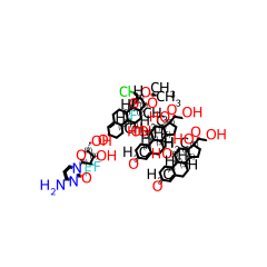 CC1(C)O[C@@H]2C[C@H]3[C@@H]4CCC5=CC(=O)CC[C@]5(C)[C@@]4(F)[C@@H](O)C[C@]3(C)[C@]2(C(=O)CCl)O1.C[C@]12CCC(=O)C=C1CC[C@@H]1[C@@H]2[C@@H](O)C[C@@]2(C)[C@H]1CC[C@]2(O)C(=O)CO.C[C@]12CCC(=O)C=C1CC[C@@H]1[C@@H]2[C@@H](O)C[C@@]2(C)[C@H]1CC[C@]2(O)C(=O)CO.Nc1ccn([C@@H]2O[C@H](CO)[C@@H](O)C2(F)F)c(=O)n1